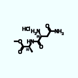 COC(=O)[C@H](C)NC(=O)[C@H](N)CC(N)=O.Cl